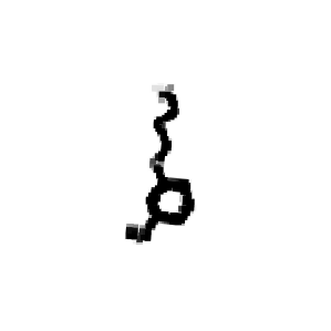 CCOCOc1cccc(N)c1